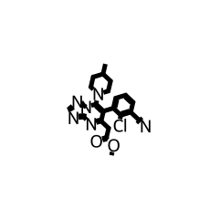 COC(=O)Cc1nc2ncnn2c(N2CCC(C)CC2)c1-c1cccc(C#N)c1Cl